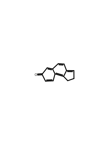 O=C1C=Cc2c3c(ccc2=C1)=CCC3